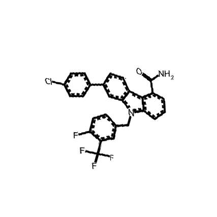 NC(=O)c1cccc2c1c1[c]cc(-c3ccc(Cl)cc3)cc1n2Cc1ccc(F)c(C(F)(F)F)c1